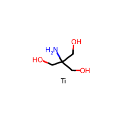 NC(CO)(CO)CO.[Ti]